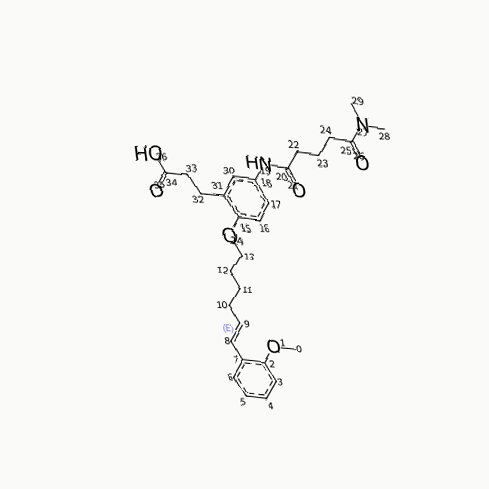 COc1ccccc1/C=C/CCCCOc1ccc(NC(=O)CCCC(=O)N(C)C)cc1CCC(=O)O